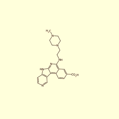 CN1CCN(CCNc2nc3[nH]c4ccncc4c3c3ccc(C(=O)O)cc23)CC1